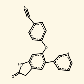 N#Cc1ccc(Oc2cc3c(cc2-c2cccnc2)CC(=O)N3)cc1